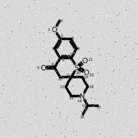 COc1ccc2c(c1)C(=O)CC1(CCN(C(C)C)CC1)S2(=O)=O